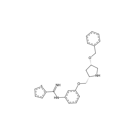 N=C(Nc1cccc(OC[C@@H]2C[C@H](OCc3ccccc3)CN2)c1)c1cccs1